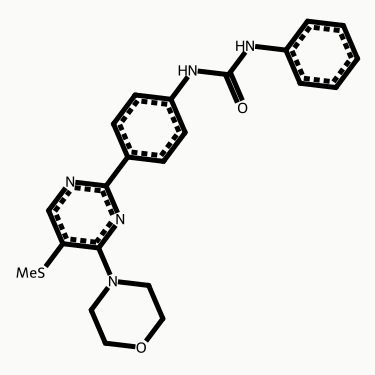 CSc1cnc(-c2ccc(NC(=O)Nc3ccccc3)cc2)nc1N1CCOCC1